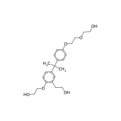 CC(C)(c1ccc(OCCOCCO)cc1)c1ccc(OCCO)c(CCO)c1